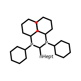 CCCCCCCC(P(C1CCCCC1)C1CCCCC1)P(C1CCCCC1)C1CCCCC1